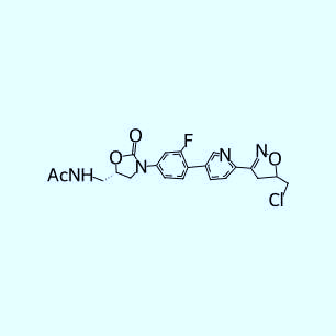 CC(=O)NC[C@H]1CN(c2ccc(-c3ccc(C4=NOC(CCl)C4)nc3)c(F)c2)C(=O)O1